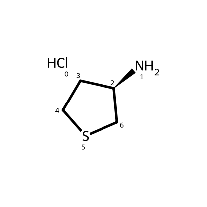 Cl.N[C@@H]1CCSC1